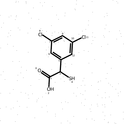 O=C(O)C(S)c1cc(Cl)cc(Cl)c1